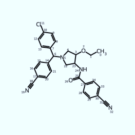 CCOC1CN(C(c2ccc(Cl)cc2)c2ccc(C#N)cc2)CC1NC(=O)c1ccc(C#N)cc1